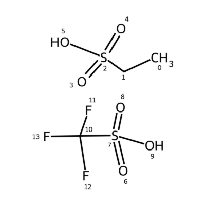 CCS(=O)(=O)O.O=S(=O)(O)C(F)(F)F